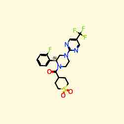 O=C(C1CCS(=O)(=O)CC1)N1CCN(c2ncc(C(F)(F)F)cn2)C[C@@H]1c1ccccc1F